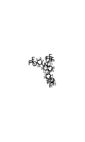 FC(F)Oc1cccc([C@H]2CCc3c(-c4cccc(OC(F)(F)F)c4)cccc3N2CCC(F)(F)F)c1